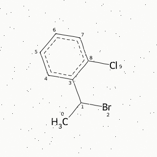 CC(Br)c1ccccc1Cl